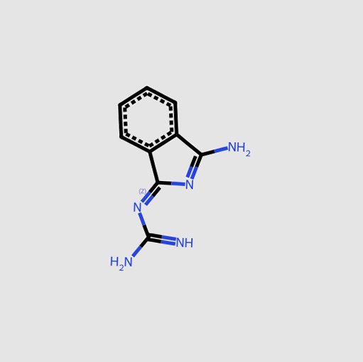 N=C(N)/N=C1\N=C(N)c2ccccc21